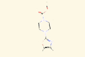 C[C@@H]1CN(c2nc(C(=O)O)c(C(F)(F)F)o2)C[C@H](C)N1C(=O)OC(C)(C)C